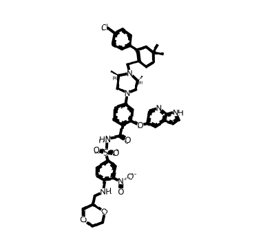 C[C@@H]1CN(c2ccc(C(=O)NS(=O)(=O)c3ccc(NCC4COCCO4)c([N+](=O)[O-])c3)c(Oc3cnc4[nH]ccc4c3)c2)C[C@@H](C)N1CC1=C(c2ccc(Cl)cc2)CC(C)(C)CC1